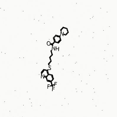 O=C(NCCCCCSc1ccnc2cc(C(F)(F)F)ccc12)c1ccc(N2CCCCC2)cc1